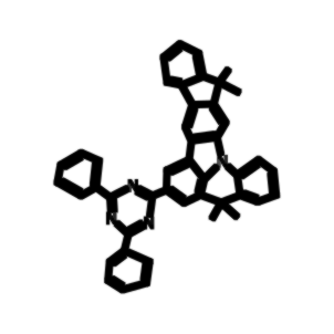 CC1(C)c2ccccc2-c2cc3c4cc(-c5nc(-c6ccccc6)nc(-c6ccccc6)n5)cc5c4n(c3cc21)-c1ccccc1C5(C)C